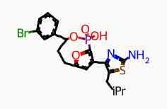 CC(C)Cc1sc(N)nc1-c1cc2oc1P(=O)(O)OC(c1cccc(Br)c1)CC2